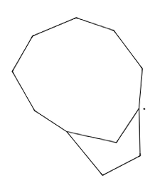 C1CCCC2CC[C](CC1)C2